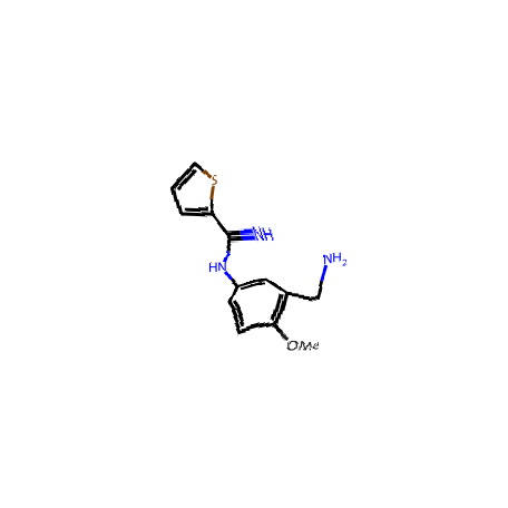 COc1ccc(NC(=N)c2cccs2)cc1CN